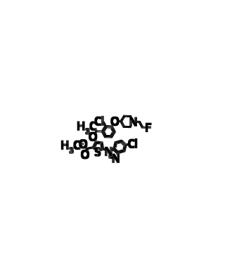 COC(=O)c1sc(-n2cnc3cc(Cl)ccc32)cc1OC(C)c1cccc(OC2CCN(CCF)CC2)c1Cl